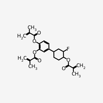 C=C(C)C(=O)Oc1ccc(C2CCC(OC(=O)C(=C)C)C(F)C2)cc1OC(=O)C(=C)C